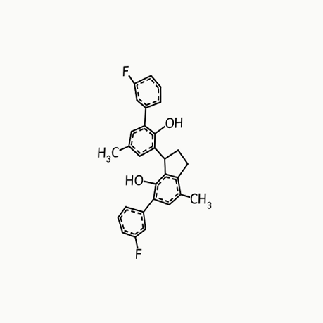 Cc1cc(-c2cccc(F)c2)c(O)c(C2CCc3c(C)cc(-c4cccc(F)c4)c(O)c32)c1